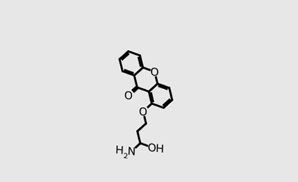 NC(O)CCOc1cccc2oc3ccccc3c(=O)c12